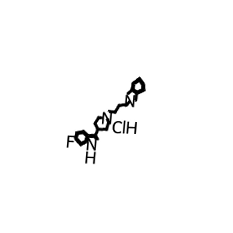 Cl.Fc1ccc2c(C3CCN(CCCCN4Cc5ccccc5C4)CC3)c[nH]c2c1